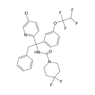 O=C(NC(Cc1ccccc1)(c1cccc(OC(F)(F)C(F)F)c1)c1ccc(Cl)cn1)N1CCC(F)(F)CC1